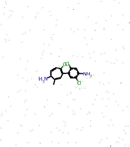 CC1=CC(c2cc(Cl)c(N)cc2Cl)=C(Cl)C=CC1N